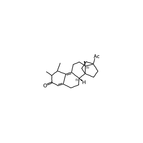 CC(=O)C12CCC3(CC1)[C@@H]1CCC4=CC(=O)C(C)C(C)C4=C1CC[C@]23C